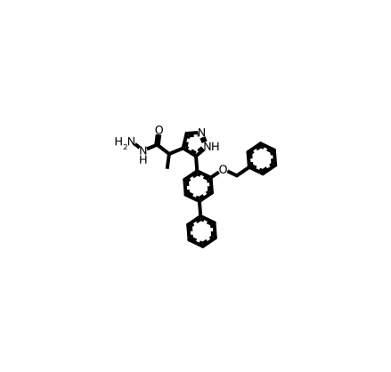 CC(C(=O)NN)c1cn[nH]c1-c1ccc(-c2ccccc2)cc1OCc1ccccc1